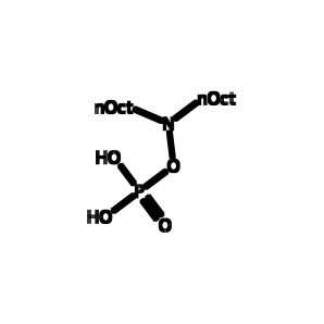 CCCCCCCCN(CCCCCCCC)OP(=O)(O)O